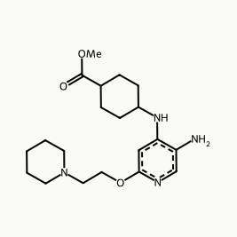 COC(=O)C1CCC(Nc2cc(OCCN3CCCCC3)ncc2N)CC1